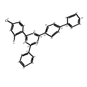 Fc1cc(Cl)ccc1-c1nc(-c2ccccc2)nc(-c2ccc(-c3ccccc3)cc2)n1